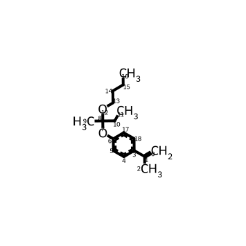 C=C(C)c1ccc(OC(C)(CC)OCCCC)cc1